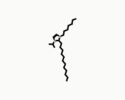 CCCCCCCCCCCCC1N(CCCCCCC)C=CN1C(C)C